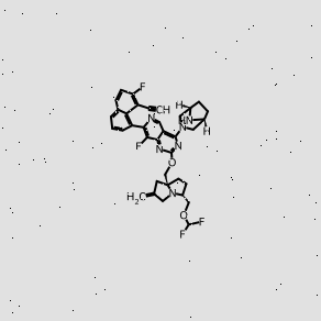 C#Cc1c(F)ccc2cccc(-c3ncc4c(N5C[C@H]6CC[C@@H](C5)N6)nc(OC[C@@]56CC[C@@H](COC(F)F)N5CC(=C)C6)nc4c3F)c12